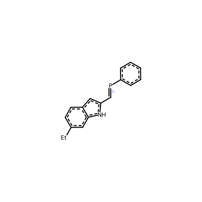 CCc1ccc2cc(/C=P/c3ccccc3)[nH]c2c1